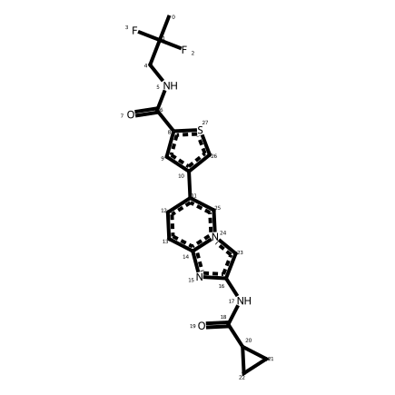 CC(F)(F)CNC(=O)c1cc(-c2ccc3nc(NC(=O)C4CC4)cn3c2)cs1